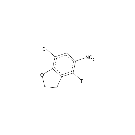 O=[N+]([O-])c1cc(Cl)c2c(c1F)CCO2